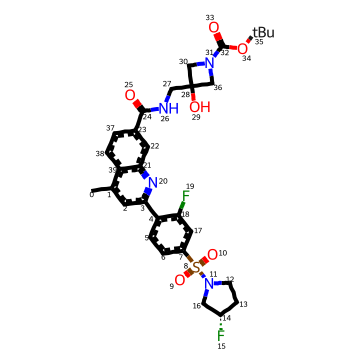 Cc1cc(-c2ccc(S(=O)(=O)N3CC[C@H](F)C3)cc2F)nc2cc(C(=O)NCC3(O)CN(C(=O)OC(C)(C)C)C3)ccc12